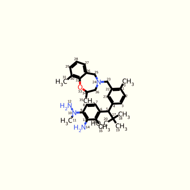 Cc1ccc(C(c2ccc(N(C)N)c(N)c2C)C(C)(C)C(=O)O)cc1CN1Cc2cccc(C)c2OC(C)C1